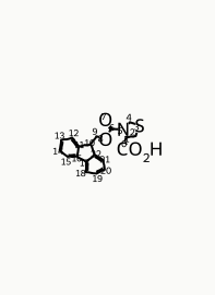 O=C(O)C1CSCN1C(=O)OCC1c2ccccc2-c2ccccc21